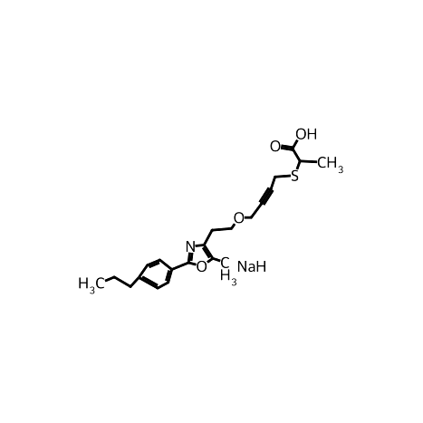 CCCc1ccc(-c2nc(CCOCC#CCSC(C)C(=O)O)c(C)o2)cc1.[NaH]